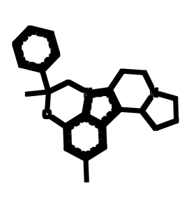 Cc1cc2c3c(c1)c1c(n3CC(C)(c3ccccc3)O2)CCN2CCCC12